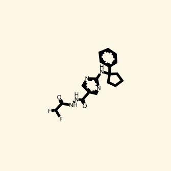 O=C(NNC(=O)C(F)F)c1cnc(NC2(c3ccccc3)CCCC2)nc1